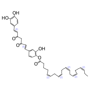 CC/C=C\C/C=C\C/C=C\C/C=C\C/C=C\CCCC(=O)Oc1ccc(/C=C/C(=O)CC(=O)/C=C/c2ccc(O)c(O)c2)cc1O